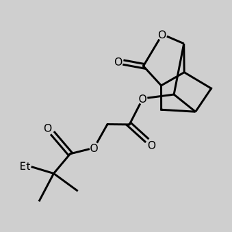 CCC(C)(C)C(=O)OCC(=O)OC1C2CC3C(=O)OC1C3C2